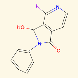 O=C1c2ccnc(I)c2C(O)N1c1ccccc1